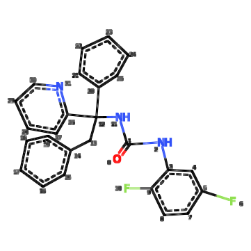 O=C(Nc1cc(F)ccc1F)NC(Cc1ccccc1)(c1ccccc1)c1ccccn1